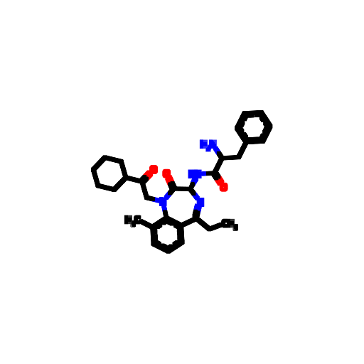 CCC1=N[C@H](NC(=O)C(N)Cc2ccccc2)C(=O)N(CC(=O)C2CCCCC2)c2c(C)cccc21